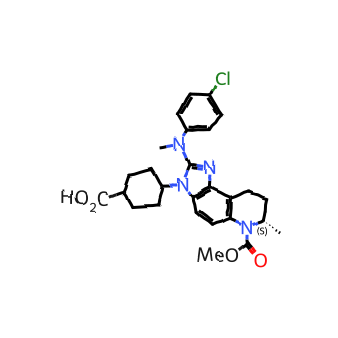 COC(=O)N1c2ccc3c(nc(N(C)c4ccc(Cl)cc4)n3C3CCC(C(=O)O)CC3)c2CC[C@@H]1C